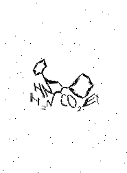 CCOC(=O)C1=C(N)NC(c2ccccc2)=CC1c1ccccc1